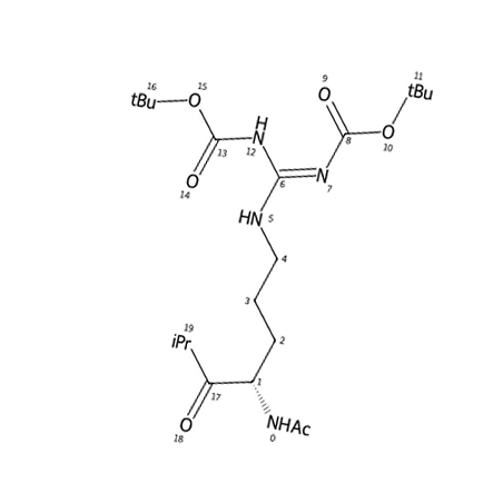 CC(=O)N[C@@H](CCCNC(=NC(=O)OC(C)(C)C)NC(=O)OC(C)(C)C)C(=O)C(C)C